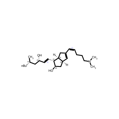 CCCC[C@H](C)C[C@H](O)/C=C/[C@@H]1[C@H]2CC(/C=C\CCCN(C)C)=C[C@H]2C[C@H]1O